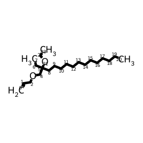 C=CCOCC(CC)(CCCCCCCCCCCCC)OCC